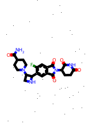 NC(=O)C1CCN(C2CNC2c2cc3c(cc2F)C(=O)N(C2CCC(=O)NC2=O)C3=O)CC1